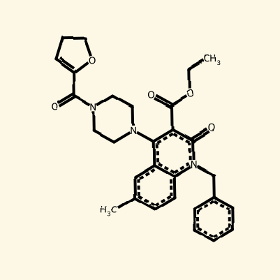 CCOC(=O)c1c(N2CCN(C(=O)C3=CCCO3)CC2)c2cc(C)ccc2n(Cc2ccccc2)c1=O